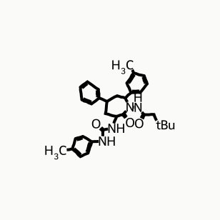 Cc1ccc(NC(=O)NC2CC(c3ccccc3)CC(c3cccc(C)c3)N(NC(=O)CC(C)(C)C)C2=O)cc1